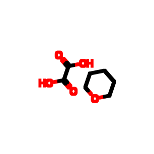 C1CCOCC1.O=C(O)C(=O)O